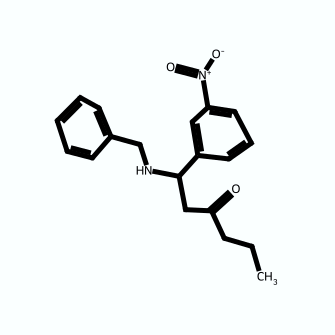 CCCC(=O)CC(NCc1ccccc1)c1cccc([N+](=O)[O-])c1